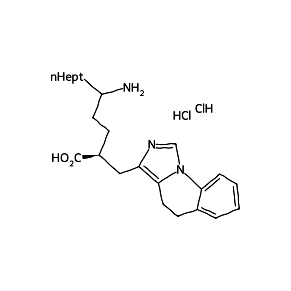 CCCCCCCC(N)CC[C@@H](Cc1ncn2c1CCc1ccccc1-2)C(=O)O.Cl.Cl